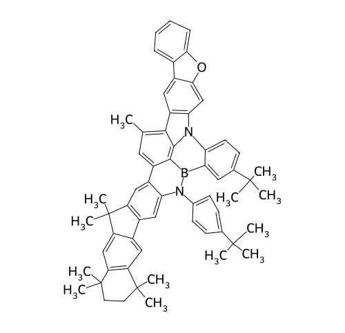 Cc1cc2c3c4c1c1cc5c(cc1n4-c1ccc(C(C)(C)C)cc1B3N(c1ccc(C(C)(C)C)cc1)c1cc3c(cc1-2)C(C)(C)c1cc2c(cc1-3)C(C)(C)CCC2(C)C)oc1ccccc15